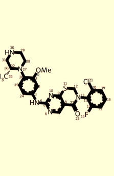 COc1cc(Nc2ncc3c(n2)SCN(c2c(F)cccc2Cl)C3=O)ccc1N1CCNC[C@H]1C